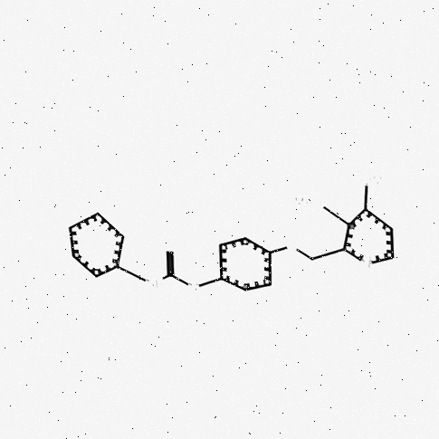 COc1ccnc(CSc2ccc(NC(=O)Nc3ccccc3)cc2)c1OC